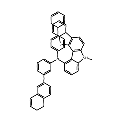 C[SiH]1c2cccc(N(c3ccc(C4C=CC=CC4)cc3)c3cccc(-c4ccc5c(c4)C=CCC5)c3)c2-c2c1ccc1c2SC2C=CC=CC12